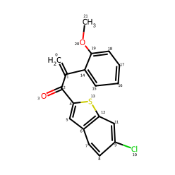 C=C(C(=O)c1cc2ccc(Cl)cc2s1)c1ccccc1OC